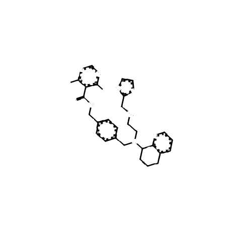 Cc1ncnc(C)c1C(=O)NCc1ccc(CN(CCNCc2nccs2)C2CCCc3cccnc32)cc1